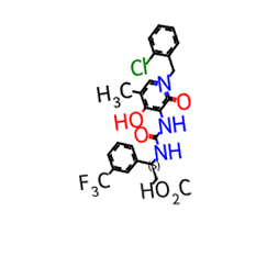 Cc1cn(Cc2ccccc2Cl)c(=O)c(NC(=O)N[C@@H](CC(=O)O)c2cccc(C(F)(F)F)c2)c1O